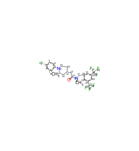 Cc1cc(F)ccc1N1CCC(CC(=O)N(C)Cc2cc(C(F)(F)F)cc(C(F)(F)F)c2)CC1